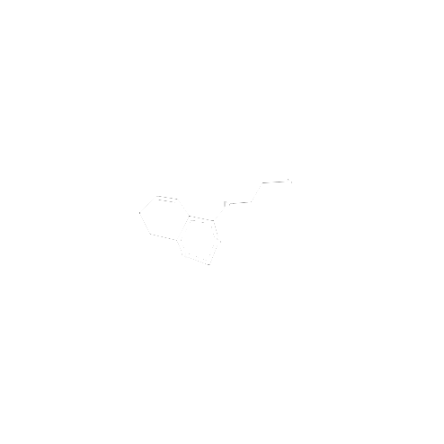 NCCNc1ncnc2c1C=CCC2